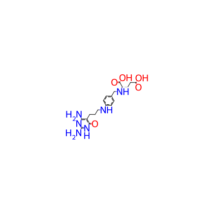 Nc1nc(N)c(CCCNc2ccc(CN[C@@H](CCC(=O)O)C(=O)O)cc2)c(=O)[nH]1